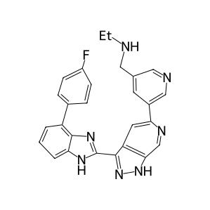 CCNCc1cncc(-c2cc3c(-c4nc5c(-c6ccc(F)cc6)cccc5[nH]4)n[nH]c3cn2)c1